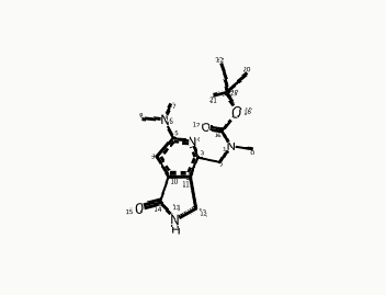 CN(Cc1nc(N(C)C)cc2c1CNC2=O)C(=O)OC(C)(C)C